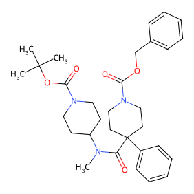 CN(C(=O)C1(c2ccccc2)CCN(C(=O)OCc2ccccc2)CC1)C1CCN(C(=O)OC(C)(C)C)CC1